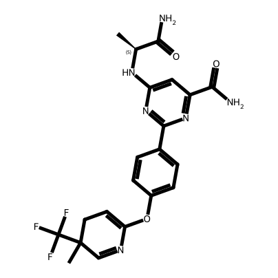 C[C@H](Nc1cc(C(N)=O)nc(-c2ccc(OC3=CCC(C)(C(F)(F)F)C=N3)cc2)n1)C(N)=O